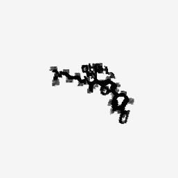 C=C1C(c2ccc(-c3ccc(Cl)cc3)o2)N(N)C(=O)N1CCCCN(C)C.Cl